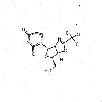 CC[C@H]1O[C@@H](n2ccc(=O)[nH]c2=O)C2N=C(C(Cl)(Cl)Cl)O[C@H]21